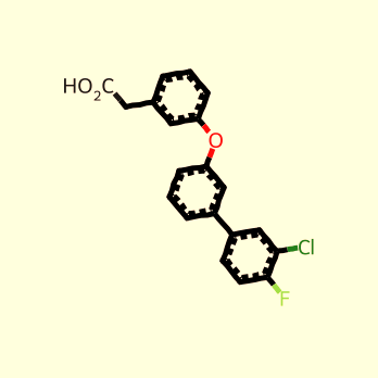 O=C(O)Cc1cccc(Oc2cccc(-c3ccc(F)c(Cl)c3)c2)c1